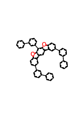 c1ccc(-c2cccc(-c3ccc4oc5c(-c6cccc(-c7ccccc7)c6)c6oc7ccc(-c8cccc(-c9ccccc9)c8)cc7c6cc5c4c3)c2)cc1